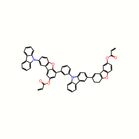 C=CC(=O)Oc1ccc2oc3c(c2c1)C=C(c1ccc2c(c1)c1ccccc1n2-c1cccc(-c2cc(OC(=O)C=C)cc4c2oc2ccc(-n5c6ccccc6c6ccccc65)cc24)c1)CC3